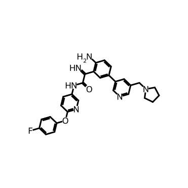 N=C(C(=O)Nc1ccc(Oc2ccc(F)cc2)nc1)c1cc(-c2cncc(CN3CCCC3)c2)ccc1N